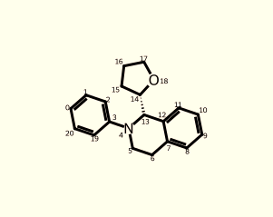 c1ccc(N2CCc3ccccc3C2[C@@H]2CCCO2)cc1